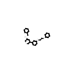 c1ccc(CNc2cncc(-c3cccc(NCCNc4ccccc4)c3)c2)cc1